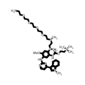 COc1cc(N(C)CCN(C)CCOCCOCCOCCOCCN)c(NC(=O)OCC[Si](C)(C)C)cc1Nc1nccc(-c2cn(C)c3ccccc23)n1